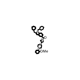 COc1ccccc1N1CCN(C2CN(C(=O)c3ccc4c(c3)cc(Cc3ccccc3)n4CC3CCCCC3)C2)CC1